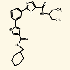 CCC(CC)NC(=O)c1cnc(-c2cccc(-c3cc(C(=O)NCC4CCCCC4)n[nH]3)c2)o1